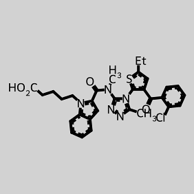 CCc1cc(C(=O)c2ccccc2Cl)c(-n2c(C)nnc2N(C)C(=O)c2cc3ccccc3n2CCCCC(=O)O)s1